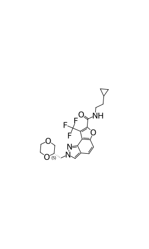 O=C(NCCC1CC1)c1oc2ccc3cn(C[C@H]4COCCO4)nc3c2c1C(F)(F)F